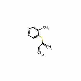 C=CC(=C)Sc1ccccc1C